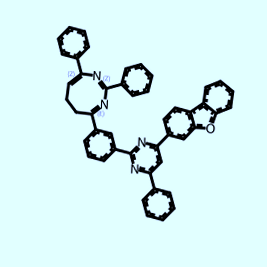 C1=C(c2ccccc2)/N=C(c2ccccc2)\N=C(\c2cccc(-c3nc(-c4ccccc4)cc(-c4ccc5c(c4)oc4ccccc45)n3)c2)CC\1